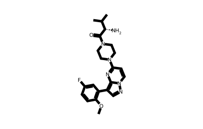 COc1ccc(F)cc1-c1cnn2ccc(N3CCN(C(=O)[C@@H](N)C(C)C)CC3)nc12